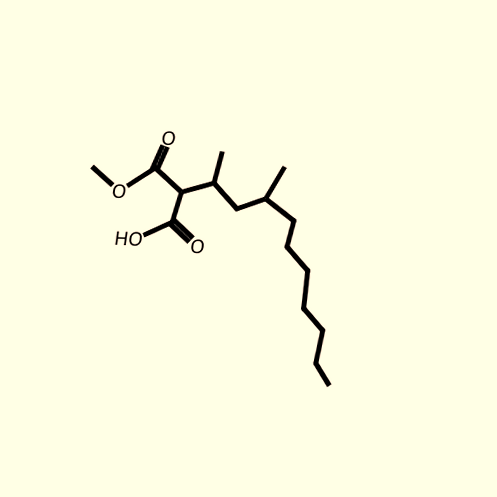 CCCCCCCC(C)CC(C)C(C(=O)O)C(=O)OC